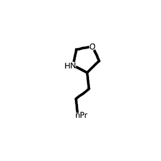 CCCCCC1COCN1